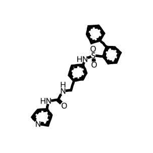 O=C(NCc1ccc(NS(=O)(=O)c2ccccc2-c2ccccc2)cc1)Nc1ccncc1